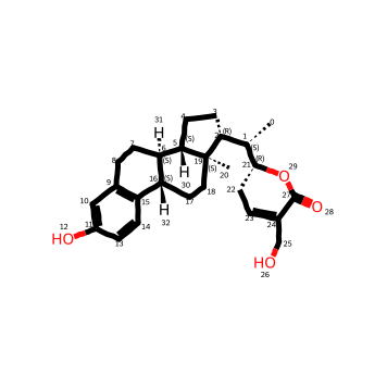 C[C@@H]([C@H]1CC[C@H]2[C@@H]3CCc4cc(O)ccc4[C@H]3CC[C@]12C)[C@H]1CC=C(CO)C(=O)O1